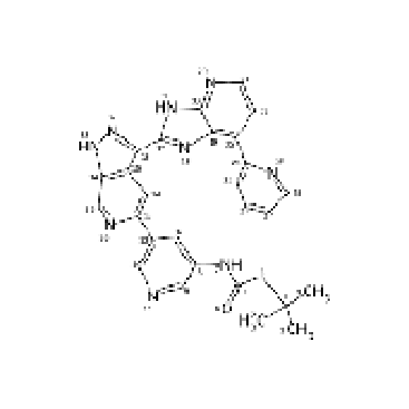 CC(C)(C)CC(=O)Nc1cncc(-c2cc3c(-c4nc5c(-c6ccccn6)ccnc5[nH]4)n[nH]c3cn2)c1